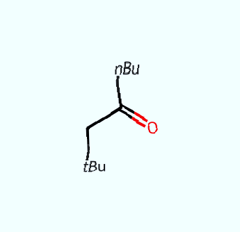 CCCCC(=O)CC(C)(C)C